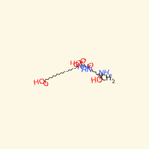 C=C(O)[C@@H](N)CCCCNC(=O)CC[C@H](NC(=O)CCCCCCCCCCCCCCCCC(=O)O)C(=O)O